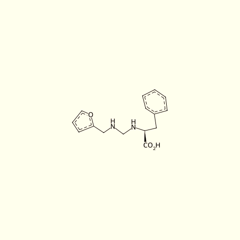 O=C(O)[C@H](Cc1ccccc1)NCNCc1ccco1